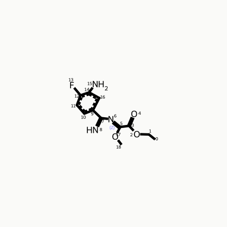 CCOC(=O)/C(=N/C(=N)c1ccc(F)c(N)c1)OC